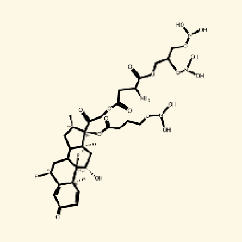 C[C@@H]1CC2C3C[C@H](F)C4=CC(=O)C=C[C@]4(C)[C@@]3(F)[C@@H](O)C[C@]2(C)[C@@]1(OC(=O)CCCON(O)O)C(=O)COC(=O)CC(N)C(=O)OCC(CON(O)O)ON(O)O